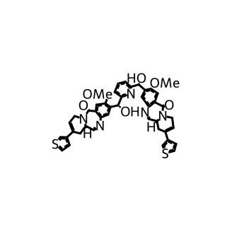 COc1cc2c(cc1[C@H](O)c1cccc([C@@H](O)c3cc4c(cc3OC)C(=O)N3CC=C(c5ccsc5)C[C@H]3C=N4)n1)N=C[C@@H]1CC(c3ccsc3)=CCN1C2=O